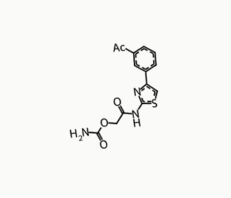 CC(=O)c1cccc(-c2csc(NC(=O)COC(N)=O)n2)c1